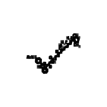 CC(=O)Nc1ccc(C(=O)Nc2ccccc2NC(=O)CNC(=O)OCOC(=O)/C=C(C)/C=C/C=C(C)/C=C/C2=C(C)CCCC2(C)C)cc1